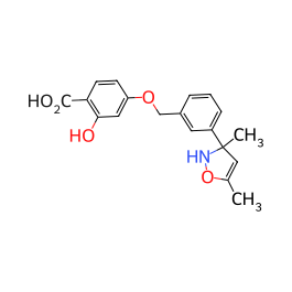 CC1=CC(C)(c2cccc(COc3ccc(C(=O)O)c(O)c3)c2)NO1